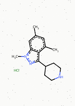 Cc1cc(C)c2c(C3CCNCC3)nn(C)c2c1.Cl